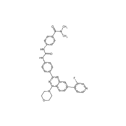 CN(C)C(=O)c1ccc(NC(=O)Nc2ccc(-c3nc(N4CCOCC4)c4ccc(-c5ccncc5F)cc4n3)cc2)cc1